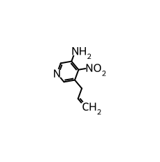 C=CCc1cncc(N)c1[N+](=O)[O-]